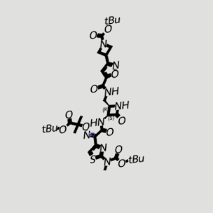 CN(C(=O)OC(C)(C)C)c1nc(/C(=N/OC(C)(C)C(=O)OC(C)(C)C)C(=O)N[C@@H]2C(=O)N[C@@H]2CNC(=O)c2cc(C3CN(C(=O)OC(C)(C)C)C3)no2)cs1